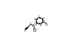 C#CC[S+]([O-])c1cccc(C)c1